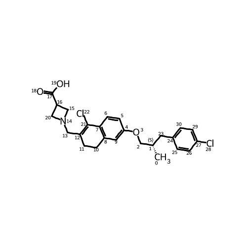 C[C@H](COc1ccc2c(c1)CCC(CN1CC(C(=O)O)C1)=C2Cl)Cc1ccc(Cl)cc1